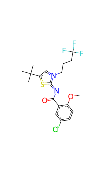 COc1ccc(Cl)cc1C(=O)N=c1sc(C(C)(C)C)cn1CCCC(F)(F)F